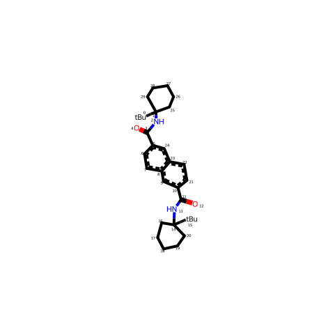 CC(C)(C)C1(NC(=O)c2ccc3cc(C(=O)NC4(C(C)(C)C)CCCCC4)ccc3c2)CCCCC1